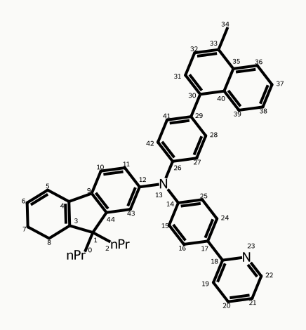 CCCC1(CCC)C2=C(C=CCC2)c2ccc(N(c3ccc(-c4ccccn4)cc3)c3ccc(-c4ccc(C)c5ccccc45)cc3)cc21